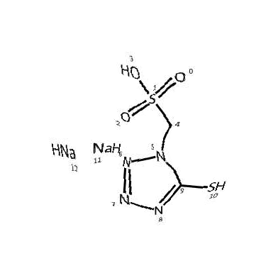 O=S(=O)(O)Cn1nnnc1S.[NaH].[NaH]